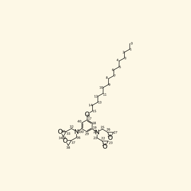 CCCCCCCCCCCCCCCCOc1cc(N(CC2CO2)CC2CO2)cc(N(CC2CO2)CC2CO2)c1